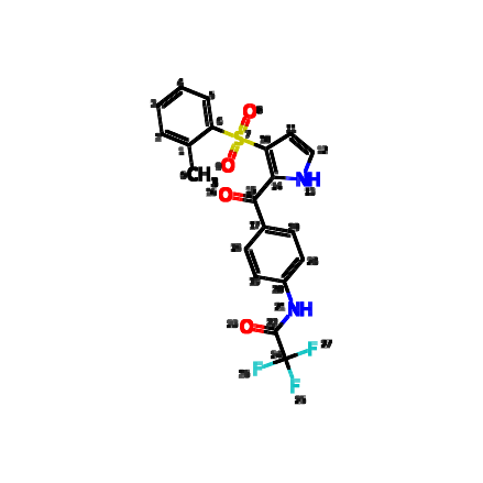 Cc1ccccc1S(=O)(=O)c1cc[nH]c1C(=O)c1ccc(NC(=O)C(F)(F)F)cc1